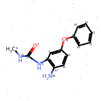 CNC(=O)Nc1cc(Oc2ccccc2)ccc1N